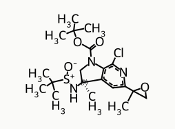 CC(C)(C)OC(=O)N1C[C@](C)(N[S+]([O-])C(C)(C)C)c2cc(C3(C)CO3)nc(Cl)c21